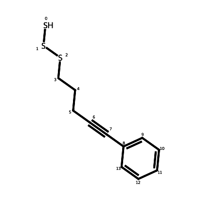 SSSCCCC#Cc1ccccc1